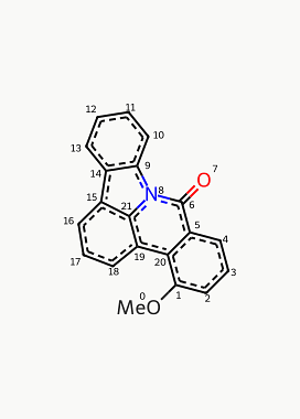 COc1cccc2c(=O)n3c4ccccc4c4cccc(c12)c43